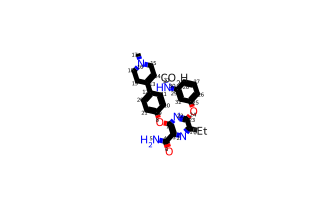 CCc1nc(C(N)=O)c(Oc2ccc(C3=CCN(C)CC3)cc2)nc1Oc1cccc(NC(=O)O)c1